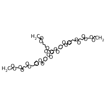 C=CC(=O)OCCCCOC(=O)c1cc(OC(=O)[C@H]2CC[C@H](C(=O)Oc3ccc(CCOC(=O)CCC(=O)OCCOC(=O)C=C)cc3)CC2)ccc1OC(=O)[C@H]1CC[C@H](C(=O)Oc2ccc(CCOC(=O)CCC(=O)OCCOC(=O)C=C)cc2)CC1